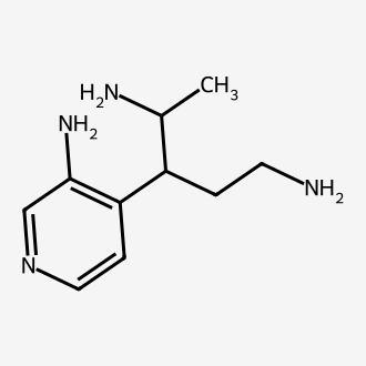 CC(N)C(CCN)c1ccncc1N